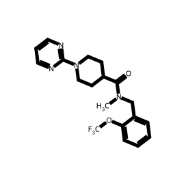 CN(Cc1ccccc1OC(F)(F)F)C(=O)C1CCN(c2ncccn2)CC1